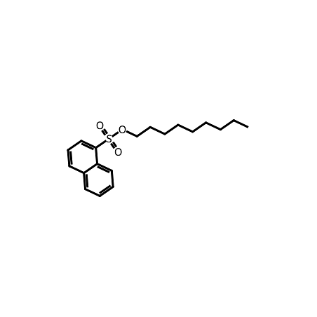 CCCCCCCCCOS(=O)(=O)c1cccc2ccccc12